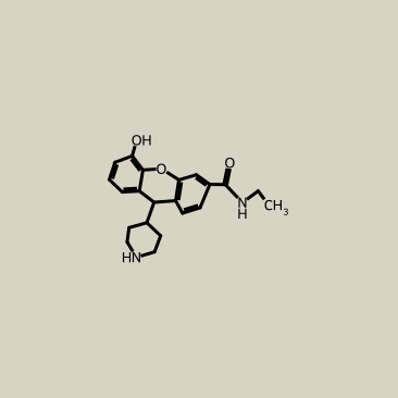 CCNC(=O)c1ccc2c(c1)Oc1c(O)cccc1C2C1CCNCC1